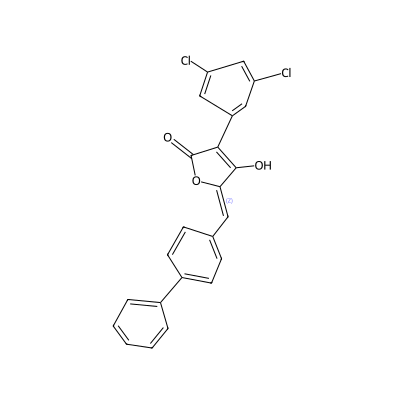 O=C1O/C(=C\c2ccc(-c3ccccc3)cc2)C(O)=C1c1cc(Cl)cc(Cl)c1